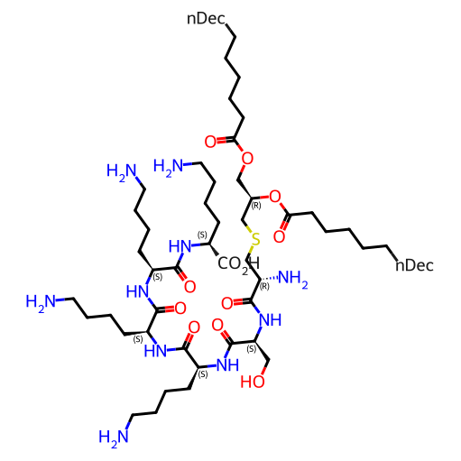 CCCCCCCCCCCCCCCC(=O)OC[C@H](CSC[C@H](N)C(=O)N[C@@H](CO)C(=O)N[C@@H](CCCCN)C(=O)N[C@@H](CCCCN)C(=O)N[C@@H](CCCCN)C(=O)N[C@@H](CCCCN)C(=O)O)OC(=O)CCCCCCCCCCCCCCC